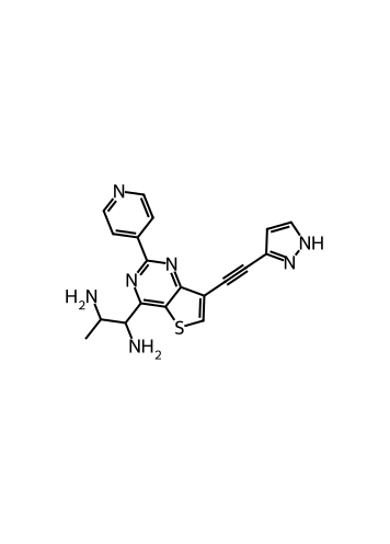 CC(N)C(N)c1nc(-c2ccncc2)nc2c(C#Cc3cc[nH]n3)csc12